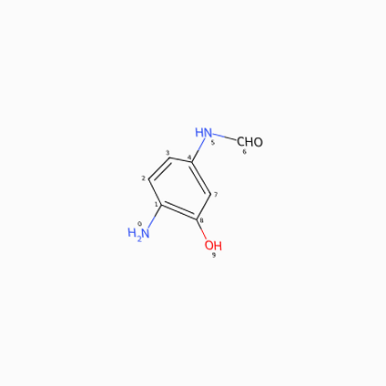 Nc1ccc(NC=O)cc1O